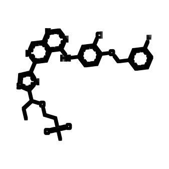 CCC(OCCS(C)(=O)=O)c1nc(-c2cc3c(Nc4ccc(OCc5cccc(F)c5)c(Cl)c4)ncnc3cn2)cs1